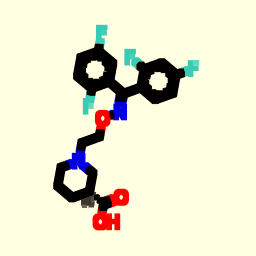 O=C(O)[C@@H]1CCCN(CCON=C(c2ccc(F)cc2F)c2cc(F)ccc2F)C1